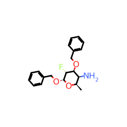 C[C@H]1O[C@H](OCc2ccccc2)[C@H](F)[C@@H](OCc2ccccc2)[C@H]1N